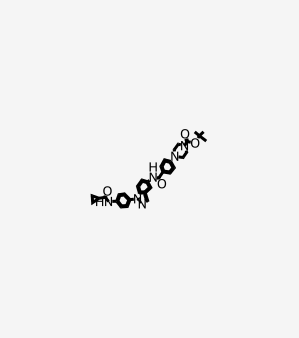 CC(C)(C)OC(=O)N1CCN(c2ccc(C(=O)Nc3ccc4c(cnn4-c4ccc(NC(=O)C5CC5)cc4)c3)cc2)CC1